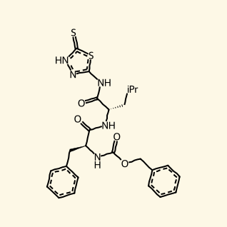 CC(C)C[C@H](NC(=O)[C@H](Cc1ccccc1)NC(=O)OCc1ccccc1)C(=O)Nc1n[nH]c(=S)s1